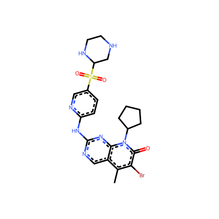 Cc1c(Br)c(=O)n(C2CCCC2)c2nc(Nc3ccc(S(=O)(=O)C4CNCCN4)cn3)ncc12